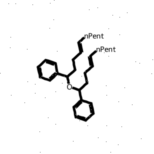 CCCCCC=CCCC(OC(CCC=CCCCCC)c1ccccc1)c1ccccc1